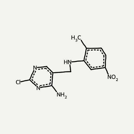 Cc1ccc([N+](=O)[O-])cc1NCc1cnc(Cl)nc1N